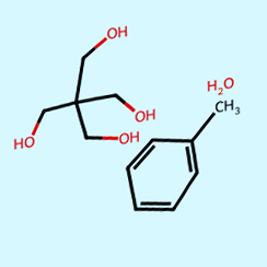 Cc1ccccc1.O.OCC(CO)(CO)CO